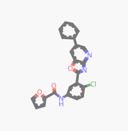 O=C(Nc1ccc(Cl)c(-c2nc3ncc(-c4ccccc4)cc3o2)c1)c1ccco1